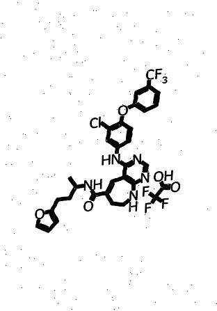 CC(CCc1ccco1)NC(=O)C1=Cc2c(ncnc2Nc2ccc(Oc3cccc(C(F)(F)F)c3)c(Cl)c2)NCC1.O=C(O)C(F)(F)F